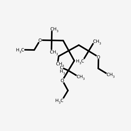 CCOC(C)(C)CC(CC)(CC(C)(C)OCC)CC(C)(C)OCC